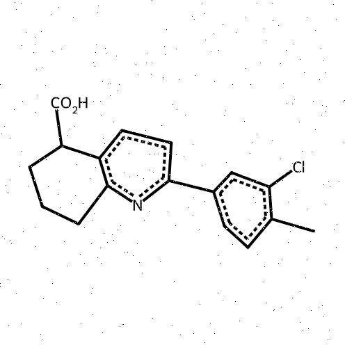 Cc1ccc(-c2ccc3c(n2)CCCC3C(=O)O)cc1Cl